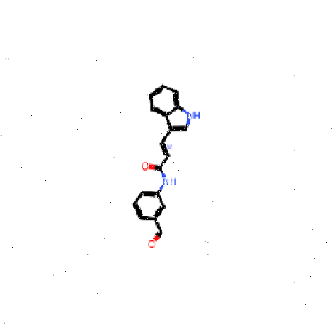 O=Cc1cccc(NC(=O)/C=C/c2c[nH]c3ccccc23)c1